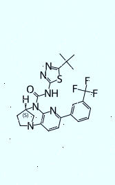 CC(C)(C)c1nnc(NC(=O)N2c3nc(-c4cccc(C(F)(F)F)c4)ccc3N3CC[C@H]2C3)s1